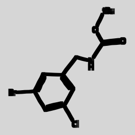 CC(C)(C)OC(=O)NCc1cc(Cl)cc(Br)c1